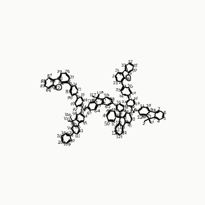 CC1(C)c2ccccc2-c2ccc(N(c3ccc(-c4ccc(-c5cccc6c5oc5ccccc56)cc4)cc3)c3ccc4c(c3)C(c3ccccc3)(c3cccc(-c5ccc6c(c5)-c5ccc(N(c7ccc(-c8ccc(-c9cccc%10c9oc9ccccc9%10)cc8)cc7)c7ccc8c(c7)C(C)(C)c7cc(-c9ccccc9)ccc7-8)cc5C6(C)C)c3)c3ccccc3-4)cc21